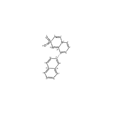 O=S1(=O)C=CN2C=CC=C(c3ccc4ccccc4c3)C2=N1